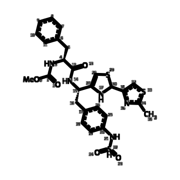 COC(=O)N[C@@H](Cc1ccccc1)C(=O)N[C@@H](Cc1ccc(N[SH](=O)=O)cc1)C1=CSC(c2csc(C)n2)N1